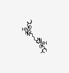 C=C(/C=C\C)CC(=O)Nc1nnc(CCCCc2ccc(NC(=O)C/C(C=C(C)C)=C/C)nn2)s1